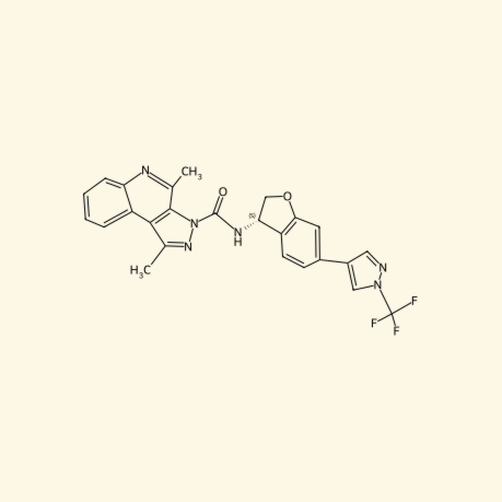 Cc1nn(C(=O)N[C@@H]2COc3cc(-c4cnn(C(F)(F)F)c4)ccc32)c2c(C)nc3ccccc3c12